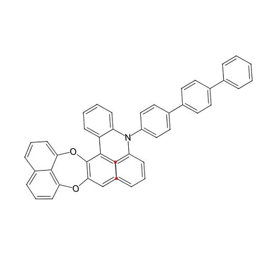 c1ccc(-c2ccc(-c3ccc(N(c4ccccc4)c4ccccc4-c4cccc5c4Oc4cccc6cccc(c46)O5)cc3)cc2)cc1